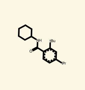 CC(C)c1ccc(C(=O)NC2CCCCC2)c(C(C)(C)C)c1